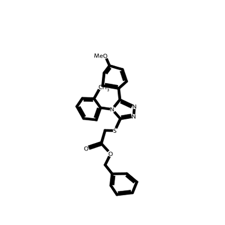 COc1ccc(-c2nnc(SCC(=O)OCc3ccccc3)n2-c2ccccc2C)cc1